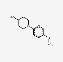 CC(=O)C1CCN(c2ccc(OC(F)(F)F)cn2)CC1